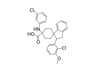 COc1cccc(C2Cc3ccccc3C23CCC(Nc2cccc(Cl)c2)(C(=O)O)CC3)c1Cl